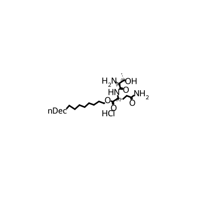 CCCCCCCCCCCCCCCCCCOC(=O)[C@@H](CCC(N)=O)NC(=O)[C@H](N)[C@H](C)O.Cl